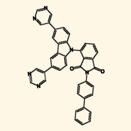 O=C1c2cccc(-n3c4ccc(-c5cncnc5)cc4c4cc(-c5cncnc5)ccc43)c2C(=O)N1c1ccc(-c2ccccc2)cc1